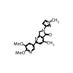 COc1cc(-c2cc(C)c3c(n2)CN(c2ccn(C)n2)C3=O)cnc1OC